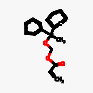 C=CC(=O)OCO[Si](C)(c1ccccc1)c1ccccc1